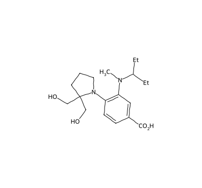 CCC(CC)N(C)c1cc(C(=O)O)ccc1N1CCCC1(CO)CO